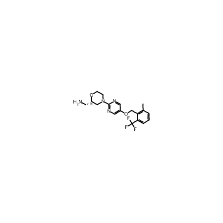 Cc1cccc(C(F)(F)F)c1COc1cnc(N2CCO[C@@H](CN)C2)nc1